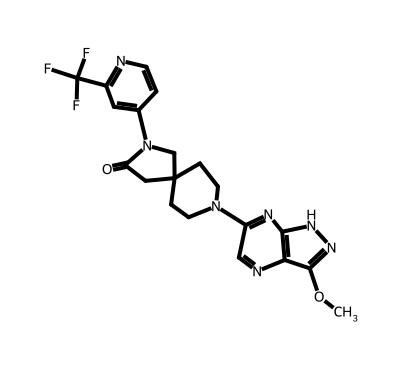 COc1n[nH]c2nc(N3CCC4(CC3)CC(=O)N(c3ccnc(C(F)(F)F)c3)C4)cnc12